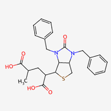 CC(CC(C(=O)O)C1SCC2C1N(Cc1ccccc1)C(=O)N2Cc1ccccc1)C(=O)O